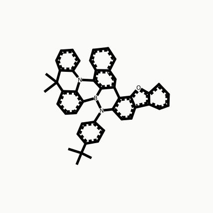 CC(C)(C)c1ccc(N2B3c4cccc5c4N(c4ccccc4C5(C)C)c4c3c(cc3ccccc43)-c3c2ccc2c3oc3ccccc32)cc1